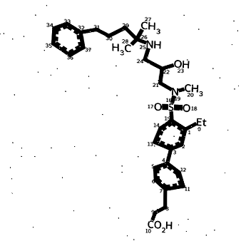 CCc1cc(-c2ccc(CCC(=O)O)cc2)ccc1S(=O)(=O)N(C)CC(O)CNC(C)(C)CCCc1ccccc1